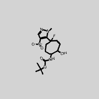 Cn1ncc([N+](=O)[O-])c1C1(F)CCC(O)C(NC(=O)OC(C)(C)C)CC1